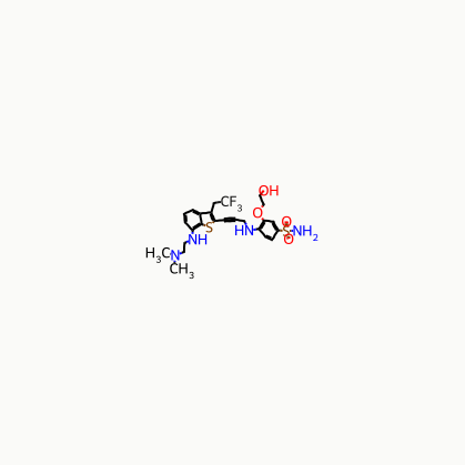 CN(C)CCNc1cccc2c(CC(F)(F)F)c(C#CCNc3ccc(S(N)(=O)=O)cc3OCCO)sc12